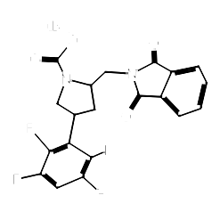 CC(C)(C)OC(=O)N1CC(c2c(F)c(F)cc(F)c2F)CC1CN1C(=O)c2ccccc2C1=O